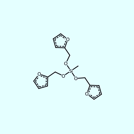 C[Si](OCc1ccco1)(OCc1ccco1)OCc1ccco1